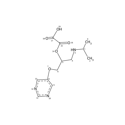 CC(C)NCC(COc1cncnc1)OC(=O)C(=O)O